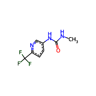 CNC(=O)Nc1ccc(C(F)(F)F)nc1